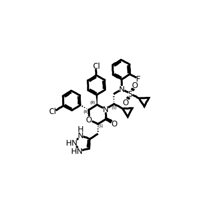 O=C1[C@H](CC2=CNNN2)O[C@H](c2cccc(Cl)c2)[C@@H](c2ccc(Cl)cc2)N1[C@H](CN(c1ccccc1F)S(=O)(=O)C1CC1)C1CC1